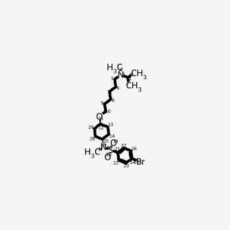 CC(C)N(C)CCCCCCO[C@H]1CC[C@H](N(C)S(=O)(=O)c2ccc(Br)cc2)CC1